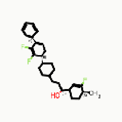 C[C@H]1CCC([C@@H](O)CCC2CCC([C@H]3CC=C([C@@H]4C=CC=CC4)C(F)=C3F)CC2)C=C1F